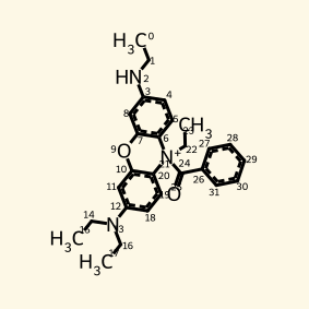 CCNc1ccc2c(c1)Oc1cc(N(CC)CC)ccc1[N+]2(CC)C(=O)c1ccccc1